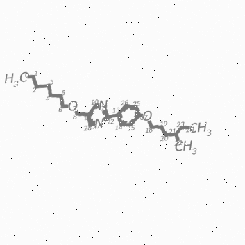 CCCCCCCOCc1cnc(-c2ccc(OCCCC(C)CC)cc2)nc1